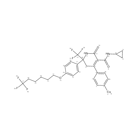 Cc1ccc(C2=C(C(=O)NC3CC3)C(=O)NC(c3ccc(OCCCCCC(F)(F)F)cc3)(C(F)(F)F)C2)cc1